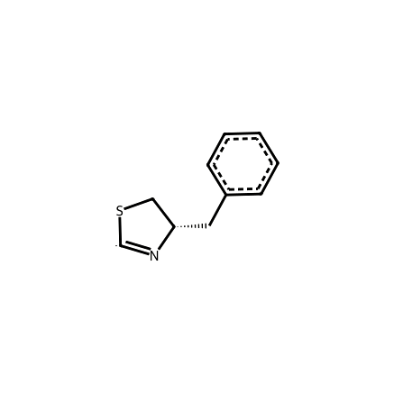 [C]1=N[C@@H](Cc2ccccc2)CS1